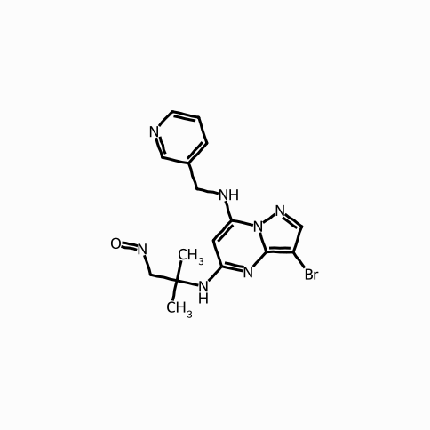 CC(C)(CN=O)Nc1cc(NCc2cccnc2)n2ncc(Br)c2n1